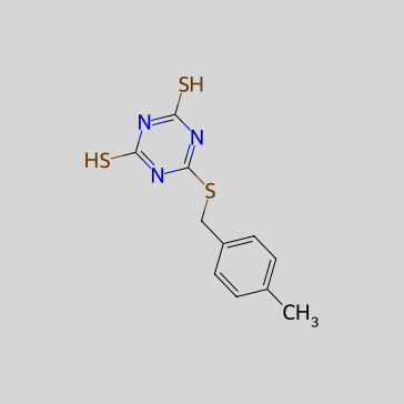 Cc1ccc(CSc2nc(S)nc(S)n2)cc1